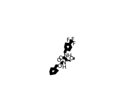 COC[C@@H](NC(=O)OCc1ccccc1)C(=O)NCc1ccc(C(F)(F)F)cc1